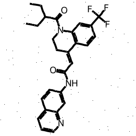 CCC(CC)C(=O)N1CCC(=CC(=O)Nc2ccc3cccnc3c2)c2ccc(C(F)(F)F)cc21